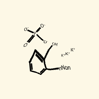 CCCCCCCCCc1ccccc1O.O=P([O-])([O-])[O-].[K+].[K+].[K+]